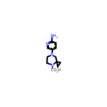 Nc1ccc(N2CCN(C(=O)O)C3(CC3)C2)cn1